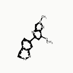 COc1cc(-c2ccc3ccnnc3c2)nc2cn(C)nc12